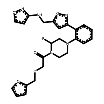 O=C(COCc1ccco1)N1CCN(c2ccccc2-c2cc(CNc3ccon3)on2)CC1F